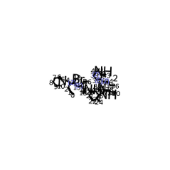 C=C=C/C(CN1CCCCC1)=C(Br)\C=C(/C=C)C(=C)Nc1ccc(C)c(NC(CCC)N(C)C(=C\CC)/C(=C/C=C\N)CC)c1